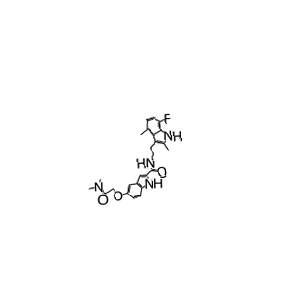 Cc1[nH]c2c(F)ccc(C)c2c1CCNC(=O)c1cc2cc(OCC(=O)N(C)C)ccc2[nH]1